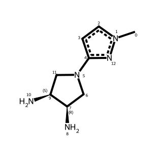 Cn1ccc(N2C[C@@H](N)[C@@H](N)C2)n1